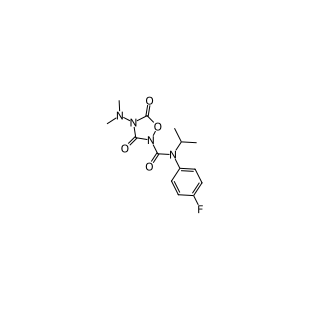 CC(C)N(C(=O)n1oc(=O)n(N(C)C)c1=O)c1ccc(F)cc1